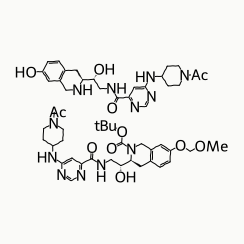 CC(=O)N1CCC(Nc2cc(C(=O)NC[C@@H](O)[C@@H]3Cc4ccc(O)cc4CN3)ncn2)CC1.COCOc1ccc2c(c1)CN(C(=O)OC(C)(C)C)[C@H]([C@H](O)CNC(=O)c1cc(NC3CCN(C(C)=O)CC3)ncn1)C2